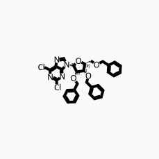 Clc1nc(Cl)c2ncn([C@@H]3O[C@H](COCc4ccccc4)[C@@H](OCc4ccccc4)[C@@H]3OCc3ccccc3)c2n1